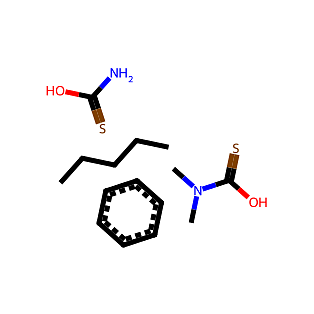 CCCCC.CN(C)C(O)=S.NC(O)=S.c1ccccc1